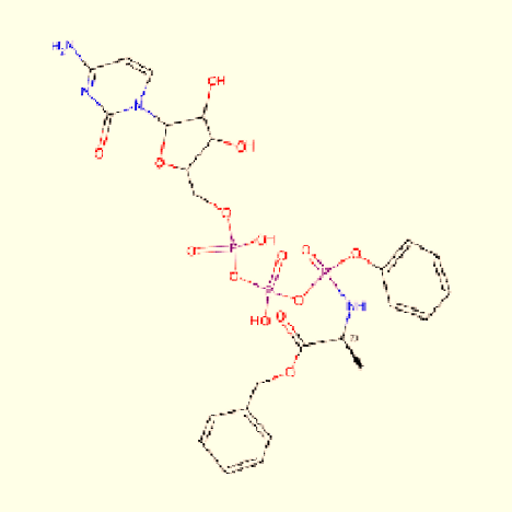 C[C@H](NP(=O)(Oc1ccccc1)OP(=O)(O)OP(=O)(O)OCC1OC(n2ccc(N)nc2=O)C(O)C1O)C(=O)OCc1ccccc1